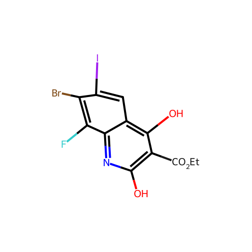 CCOC(=O)c1c(O)nc2c(F)c(Br)c(I)cc2c1O